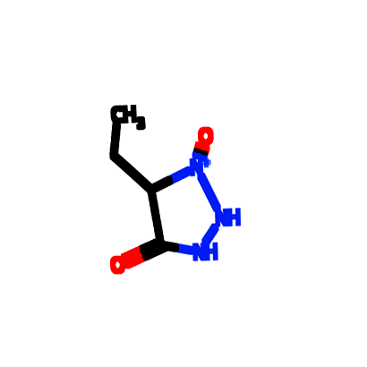 CCC1C(=O)NN[N+]1=O